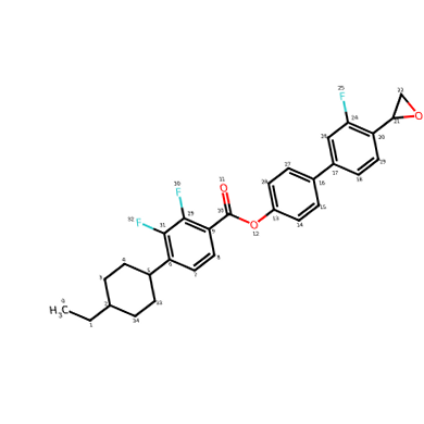 CCC1CCC(c2ccc(C(=O)Oc3ccc(-c4ccc(C5CO5)c(F)c4)cc3)c(F)c2F)CC1